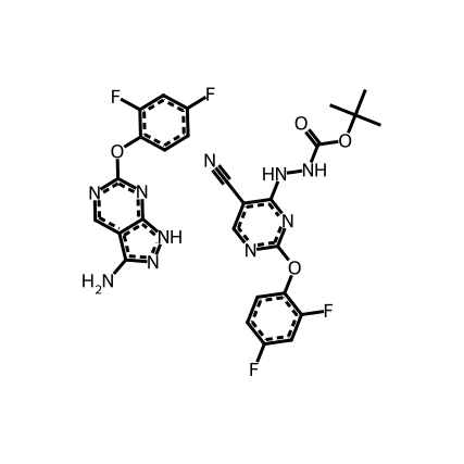 CC(C)(C)OC(=O)NNc1nc(Oc2ccc(F)cc2F)ncc1C#N.Nc1n[nH]c2nc(Oc3ccc(F)cc3F)ncc12